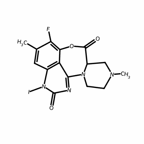 Cc1cc2c3c(nc(=O)n2I)N2CCN(C)CC2C(=O)Oc3c1F